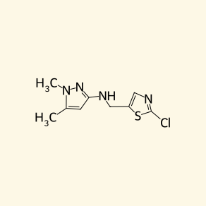 Cc1cc(NCc2cnc(Cl)s2)nn1C